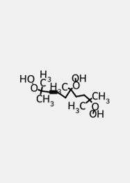 CC(C)(C#CCC(C)(CCC(C)(C)OO)OO)OO